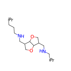 CC(C)CCCNCC1COC2C(CNCC(C)C)COC12